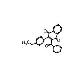 CCc1ccc(C2=C(C(=O)c3ccccc3)C(=O)c3ccccc3C2=O)cc1